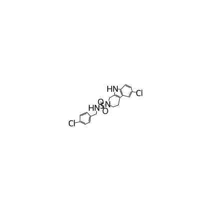 O=S(=O)(NCc1ccc(Cl)cc1)N1CCc2c([nH]c3ccc(Cl)cc23)C1